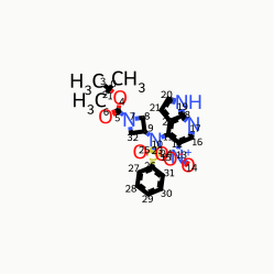 CC(C)(C)OC(=O)N1CC(N(c2c([N+](=O)[O-])cnc3[nH]ccc23)S(=O)(=O)c2ccccc2)C1